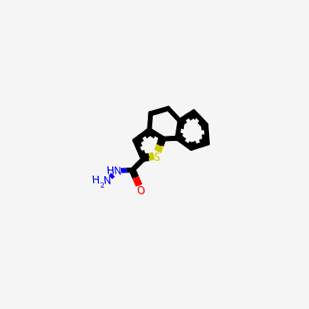 NNC(=O)c1cc2c(s1)-c1ccccc1CC2